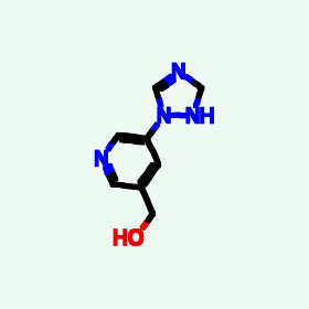 OCc1cncc(N2C=NCN2)c1